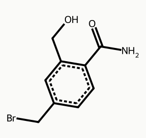 NC(=O)c1ccc(CBr)cc1CO